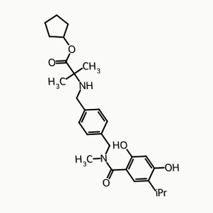 CC(C)c1cc(C(=O)N(C)Cc2ccc(CNC(C)(C)C(=O)OC3CCCC3)cc2)c(O)cc1O